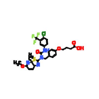 COC1=NC2(C)SC(N(Cc3ccc(OCCCC(=O)O)cc3)C(=O)Nc3ccc(Cl)c(C(F)(F)F)c3)=NC2C=C1